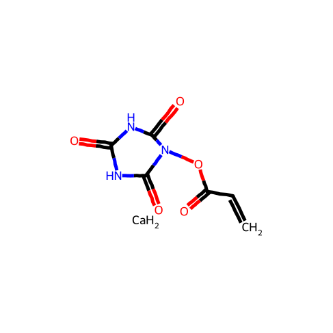 C=CC(=O)On1c(=O)[nH]c(=O)[nH]c1=O.[CaH2]